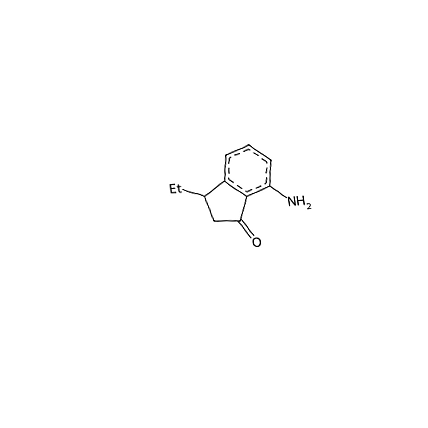 CCC1CC(=O)c2c(N)cccc21